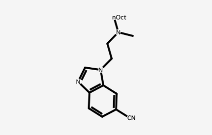 CCCCCCCCN(C)CCn1cnc2ccc(C#N)cc21